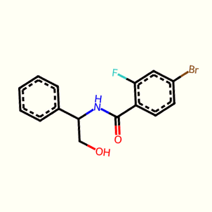 O=C(NC(CO)c1ccccc1)c1ccc(Br)cc1F